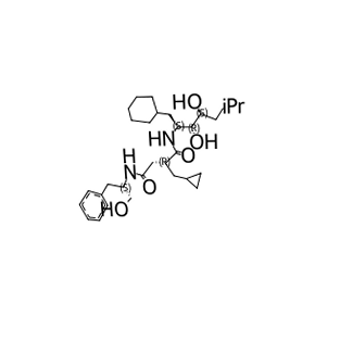 CC(C)C[C@H](O)[C@H](O)[C@H](CC1CCCCC1)NC(=O)[C@@H](CC(=O)N[C@H](CO)Cc1ccccc1)CC1CC1